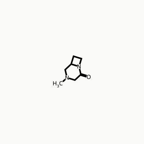 CN1CC(=O)N2CCC2C1